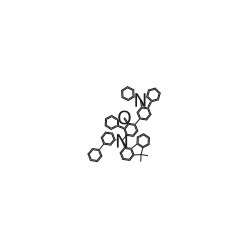 CC1(C)c2ccccc2-c2c(N(c3cccc(-c4ccccc4)c3)c3ccc(-c4ccc5c6ccccc6n(-c6ccccc6)c5c4)c4oc5ccccc5c34)cccc21